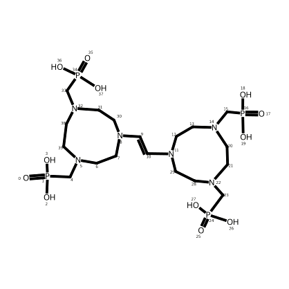 O=P(O)(O)CN1CCN(C=CN2CCN(CP(=O)(O)O)CCN(CP(=O)(O)O)CC2)CCN(CP(=O)(O)O)CC1